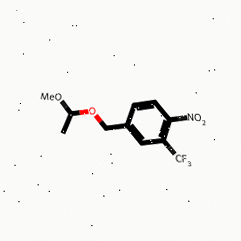 COC(C)OCc1ccc([N+](=O)[O-])c(C(F)(F)F)c1